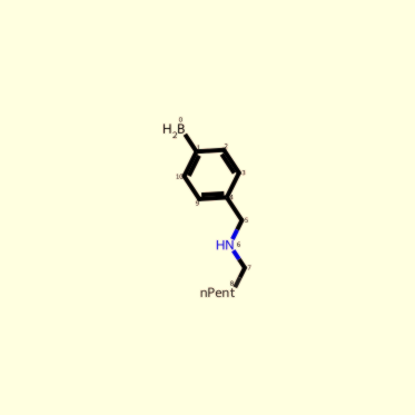 Bc1ccc(CNCCCCCC)cc1